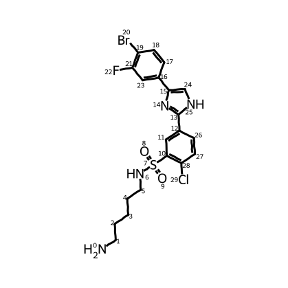 NCCCCCNS(=O)(=O)c1cc(-c2nc(-c3ccc(Br)c(F)c3)c[nH]2)ccc1Cl